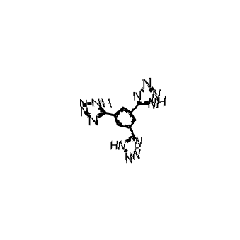 c1c(-c2nnn[nH]2)cc(-c2nnn[nH]2)cc1-c1nnn[nH]1